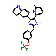 Cc1cccc(-c2[nH]c(Cc3cccc(OC(F)(F)F)c3)nc2-c2ccc3ncccc3c2)n1